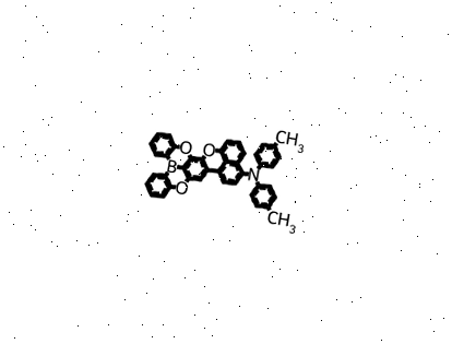 Cc1ccc(N(c2ccc(C)cc2)c2ccc3c4c(cccc24)Oc2c-3cc3c4c2Oc2ccccc2B4c2ccccc2O3)cc1